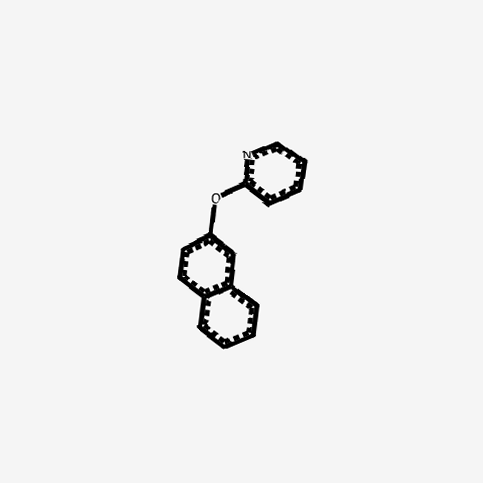 [c]1c(Oc2ccccn2)ccc2ccccc12